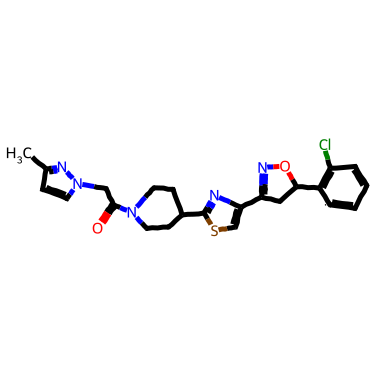 Cc1ccn(CC(=O)N2CCC(c3nc(C4=NOC(c5[c]cccc5Cl)C4)cs3)CC2)n1